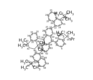 CCCC(C)(C)c1cccc(-c2c3cc(-c4ccc([Si](C)(C)C)c5ccccc45)ccc3c(-c3cccc4c3C(C)(C)CCC4(C)C)c3cc(-c4ccc([Si](C)(C)C)c5ccccc45)ccc23)c1C